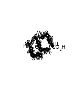 COC(=O)C(=O)Nc1ccc2c(c1)C(=O)N(c1ccc(OC)c(OC3CCc4ccccc43)c1)C2.COC(=O)C(=O)Nc1ccc2c(c1)C(=O)N(c1ccc(OC)c(OCC3CCCC3)c1)C2.COc1ccc(N2Cc3ccc(NC(=O)C(=O)O)cc3C2=O)cc1OC1CCCC1